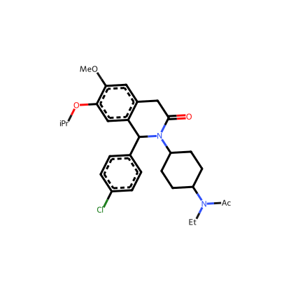 CCN(C(C)=O)C1CCC(N2C(=O)Cc3cc(OC)c(OC(C)C)cc3C2c2ccc(Cl)cc2)CC1